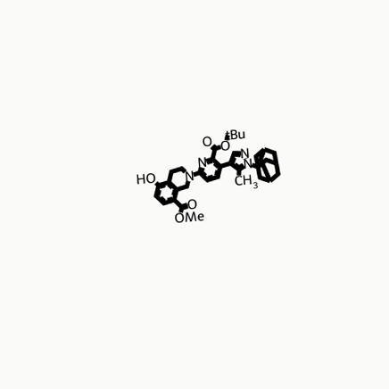 COC(=O)c1ccc(O)c2c1CN(c1ccc(-c3cnn(C45CC6CC(CC(C6)C4)C5)c3C)c(C(=O)OC(C)(C)C)n1)CC2